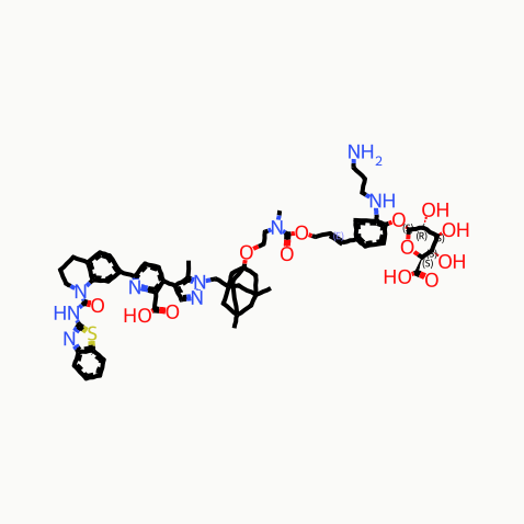 Cc1c(-c2ccc(-c3ccc4c(c3)N(C(=O)Nc3nc5ccccc5s3)CCC4)nc2C(=O)O)cnn1CC12CC3(C)CC(C)(C1)CC(OCCN(C)C(=O)OC/C=C/c1ccc(O[C@@H]4O[C@H](C(=O)O)[C@@H](O)[C@H](O)[C@H]4O)c(NCCCN)c1)(C3)C2